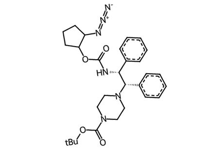 CC(C)(C)OC(=O)N1CCN([C@@H](c2ccccc2)[C@H](NC(=O)OC2CCCC2N=[N+]=[N-])c2ccccc2)CC1